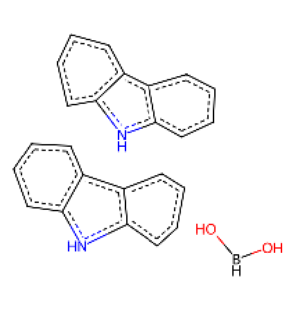 OBO.c1ccc2c(c1)[nH]c1ccccc12.c1ccc2c(c1)[nH]c1ccccc12